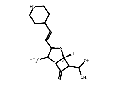 CC(O)C1C(=O)N2C(C(=O)O)C(C=CC3CCNCC3)S[C@H]12